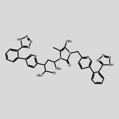 CCCCc1c(C)n(C(CCCC)CC(c2ccc(-c3ccccc3-c3nnn[nH]3)cn2)C(CC)CCCC)c(=O)n1Cc1ccc(-c2ccccc2-c2nnn[nH]2)cn1